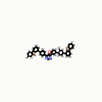 CC1C=Cc2c(sc3c(-c4ccc(-c5ncnc6c5oc5ccc(C7=CC=C(c8cccc9c8sc8ccccc89)CC7C)cc56)cc4)cccc23)C1